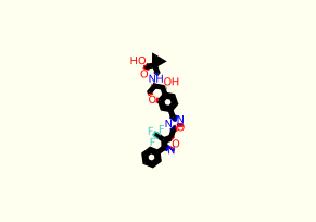 O=C(O)C1(CN[C@H]2COc3cc(-c4noc(-c5onc(-c6ccccc6)c5C(F)(F)F)n4)ccc3[C@@H]2O)CC1